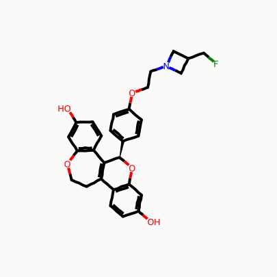 Oc1ccc2c(c1)O[C@H](c1ccc(OCCN3CC(CF)C3)cc1)C1=C2CCOc2cc(O)ccc21